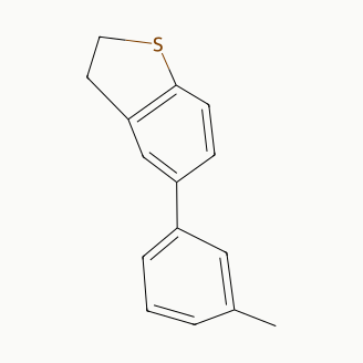 Cc1cccc(-c2ccc3c(c2)CCS3)c1